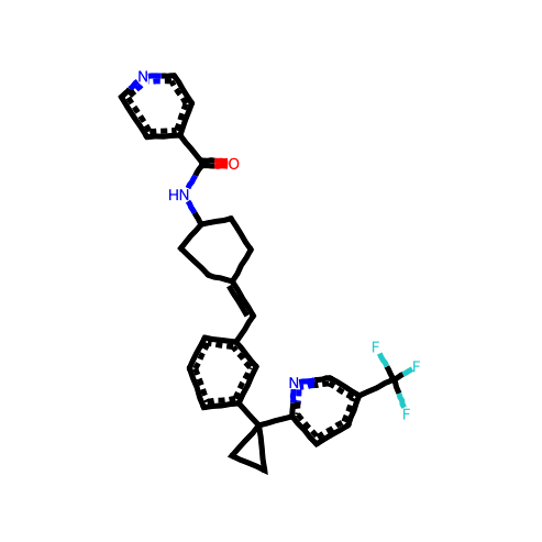 O=C(NC1CCC(=Cc2cccc(C3(c4ccc(C(F)(F)F)cn4)CC3)c2)CC1)c1ccncc1